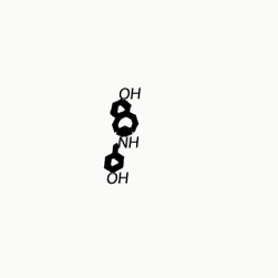 Oc1ccc(CNC2C3CCc4cc(O)ccc4CC2C3)cc1